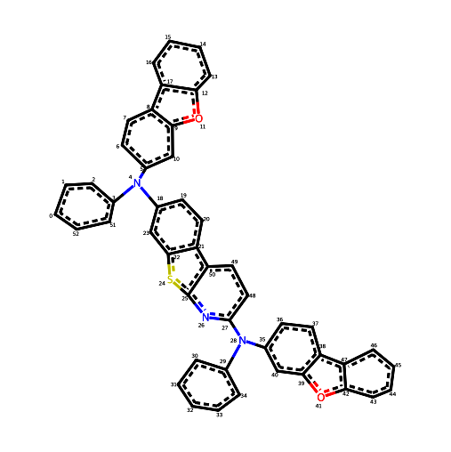 c1ccc(N(c2ccc3c(c2)oc2ccccc23)c2ccc3c(c2)sc2nc(N(c4ccccc4)c4ccc5c(c4)oc4ccccc45)ccc23)cc1